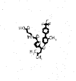 Cc1cc(OC(CC(C)C)c2ccc(C(=O)NCCC(=O)O)s2)ccc1-c1ccc(C(F)(F)F)cc1